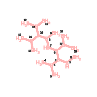 BBB(B(B)B)B(BB(B)B(B(B)B)B(B)B)B(B)B